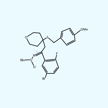 COc1ccc(CSC2(C/C(=N/[S+]([O-])C(C)(C)C)c3cc(Br)ccc3F)CCOCC2)cc1